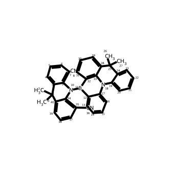 CC1(C)c2cccc(C#N)c2N(B2c3ccccc3N3c4ccccc4C(C)(C)c4cccc2c43)c2c(C#N)cccc21